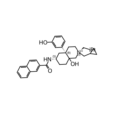 CC(C)C[N@+]1(CC2CC2)CC[C@]2(c3cccc(O)c3)C[C@@H](NC(=O)c3ccc4ccccc4c3)CCC2(O)C1